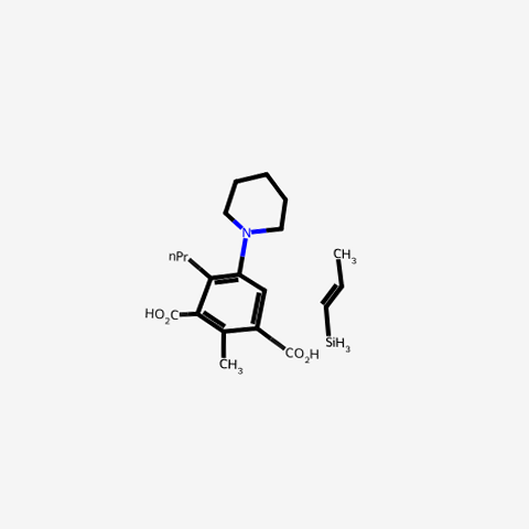 CC=C[SiH3].CCCc1c(N2CCCCC2)cc(C(=O)O)c(C)c1C(=O)O